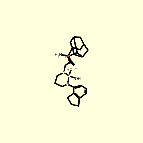 NC(=O)C12CC3CC(C1)C(NC(=O)CN1CCCN(c4cccc5c4CCC5)S1(O)O)C(C3)C2